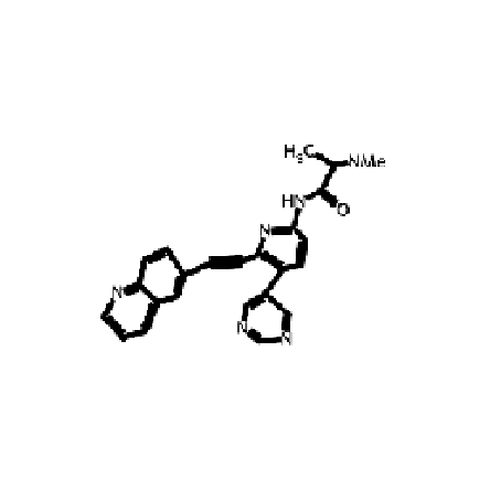 CNC(C)C(=O)Nc1ccc(-c2cncnc2)c(C#Cc2ccc3ncccc3c2)n1